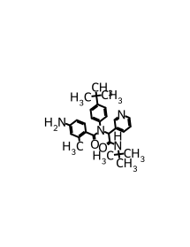 Cc1cc(N)ccc1C(=O)N(c1ccc(C(C)(C)C)cc1)C(C(=O)NC(C)(C)C)c1cccnc1